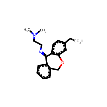 CN(C)CCN=C1c2ccccc2COc2cc(CC(=O)O)ccc21